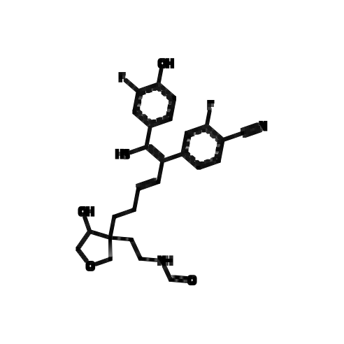 N#Cc1ccc(C(/C=C/CCC2(CCNC=O)COCC2O)=C(/S)c2ccc(O)c(F)c2)cc1F